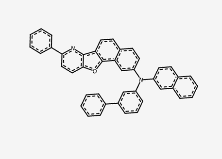 c1ccc(-c2cccc(N(c3ccc4ccccc4c3)c3ccc4ccc5c6nc(-c7ccccc7)ccc6oc5c4c3)c2)cc1